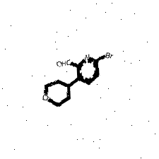 O=Cc1nc(Br)ccc1C1CCOCC1